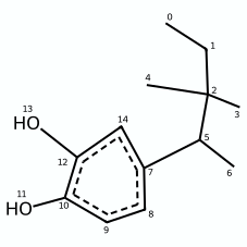 CCC(C)(C)C(C)c1ccc(O)c(O)c1